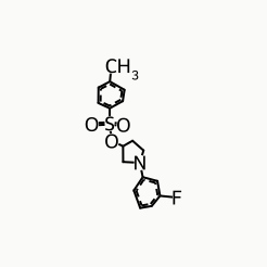 Cc1ccc(S(=O)(=O)OC2CCN(c3cccc(F)c3)C2)cc1